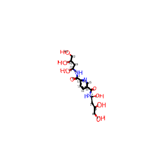 O=C(NC(O)CC(O)CO)c1ccc(C(=O)NC(O)CC(O)CO)nc1